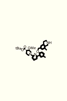 CO[C@@H]1CN(c2cccc(-c3cc(C)ccc3OCc3cc(C)c4c(c3)CCNC4)n2)CC[C@@H]1C(=O)OC(C)(C)C